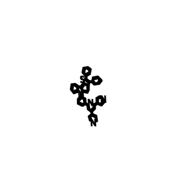 c1ccc(-c2sc3c(ccc4c3c3ccccc3n4-c3cccc(-c4cc(-c5ccncc5)cc(-c5ccncc5)n4)c3)c2-c2ccccc2)cc1